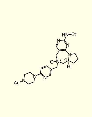 CCNc1ncc2c(n1)N1CCC[C@H]1C[N+]([O-])(Cc1ccc(N3CCN(C(C)=O)CC3)nc1)C2